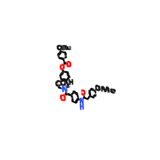 COc1ccc(CC(=O)Nc2ccc(C(=O)N(CC(=O)O)Cc3ccc(OC(=O)c4ccc(OCC(C)C)cc4)cc3)cc2)cc1